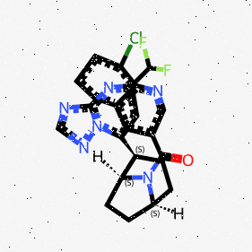 O=C(c1cnc2c(Cl)cccc2c1)N1[C@H]2CC[C@H](c3cc(C(F)F)nc4ncnn34)[C@@H]1CC2